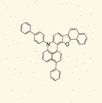 c1ccc(-c2ccc(-c3c(N(c4ccccc4)c4ccc(-c5ccccc5)cc4)ccc4c3oc3c5ccccc5ccc43)cc2)cc1